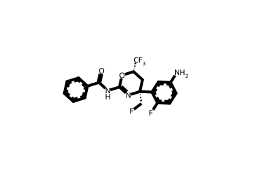 Nc1ccc(F)c([C@]2(CF)C[C@@H](C(F)(F)F)OC(NC(=O)c3ccccc3)=N2)c1